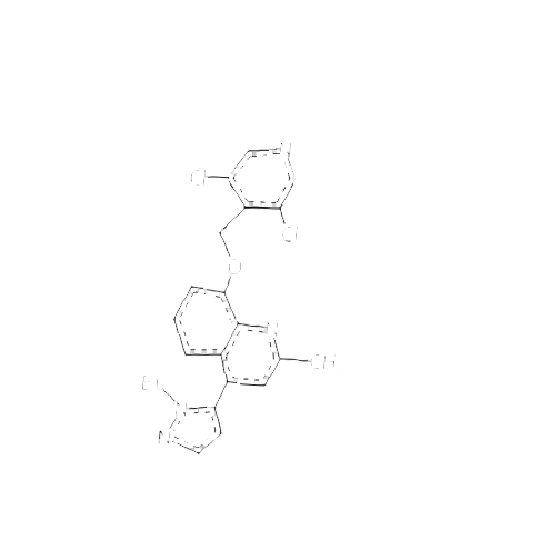 CCn1nccc1-c1cc(C)nc2c(OCc3c(Cl)cncc3Cl)cccc12